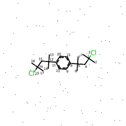 CC(C)(Cl)CC(C)(C)c1ccc(C(C)(C)CC(C)(C)Cl)cc1